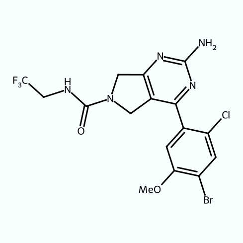 COc1cc(-c2nc(N)nc3c2CN(C(=O)NCC(F)(F)F)C3)c(Cl)cc1Br